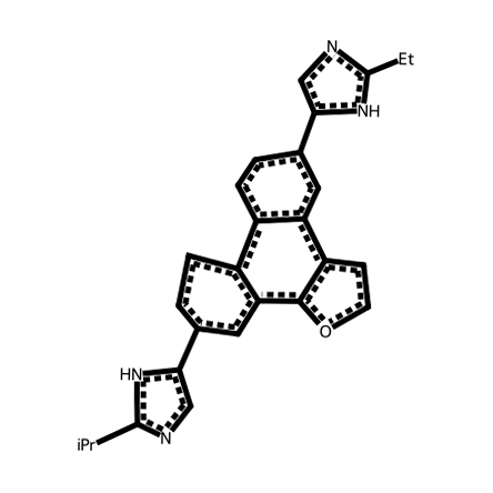 CCc1ncc(-c2ccc3c(c2)c2ccoc2c2cc(-c4cnc(C(C)C)[nH]4)ccc32)[nH]1